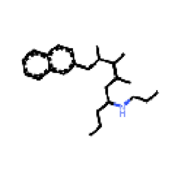 CCCNC(CCC)CC(C)C(C)C(C)Cc1ccc2ccccc2c1